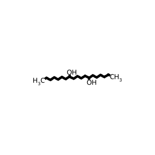 CCCCCCCC(O)CCCCC(O)CCCCCC